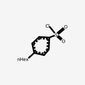 CCCCCCc1ccc(S(=O)(=O)Cl)cc1